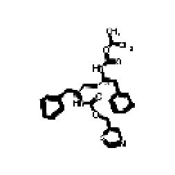 CC(C)OC(=O)N[C@@H](CC[C@H](Cc1ccccc1)NC(=O)OCc1cncs1)Cc1ccccc1